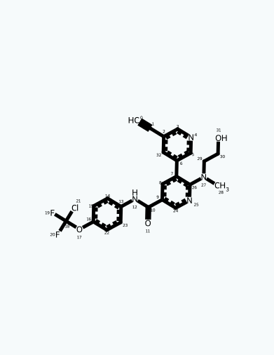 C#Cc1cncc(-c2cc(C(=O)Nc3ccc(OC(F)(F)Cl)cc3)cnc2N(C)CCO)c1